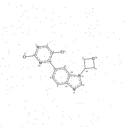 Clc1ncc(Cl)c(-c2ccc3ncn(C4COC4)c3c2)n1